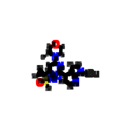 C[C@@H]1COCCN1c1cc(C2(S(C)(=N)=O)CC2)nc(-c2ccnc3c2ccn3C(C)(C)C)n1